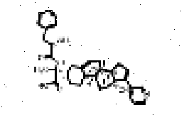 CC(NC(=O)[C@@H](N)Cc1ccccc1)(C(=O)O)[C@H]1CC[C@@]2(C)C(=CC[C@@H]3[C@@H]2CC[C@]2(C)C(c4cccnc4)=CC[C@@H]32)C1